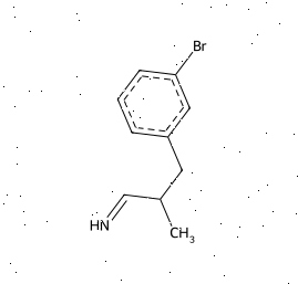 CC(C=N)Cc1cccc(Br)c1